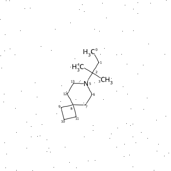 CCC(C)(C)N1CCC2(CCC2)CC1